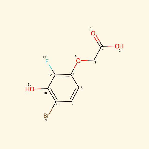 O=C(O)COc1ccc(Br)c(O)c1F